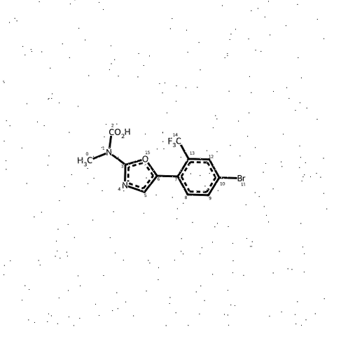 CN(C(=O)O)c1ncc(-c2ccc(Br)cc2C(F)(F)F)o1